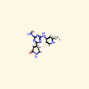 CC(C)Nc1nc(Nc2ccnc(C(F)(F)F)c2)nc(C2=CC(=O)NCC2)n1